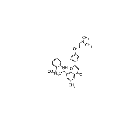 Cc1cc([C@@H](C)Nc2ccccc2C(=O)O)c2oc(-c3ccc(OCCN(C)C)cc3)cc(=O)c2c1